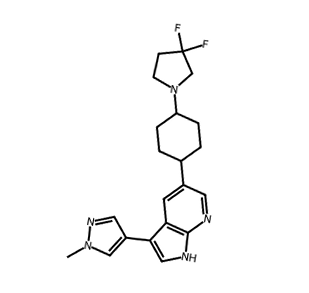 Cn1cc(-c2c[nH]c3ncc(C4CCC(N5CCC(F)(F)C5)CC4)cc23)cn1